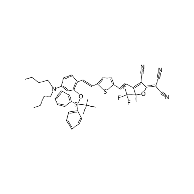 CCCCN(CCCC)c1ccc(/C=C/c2ccc(/C=C/C3=C(C#N)C(=C(C#N)C#N)OC3(C)C(F)(F)F)s2)c(O[Si](c2ccccc2)(c2ccccc2)C(C)(C)C)c1